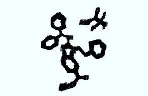 COC(=O)c1ccc2nc(NC(c3ccccc3)c3ccccc3)n(CCc3ccccc3)c2c1.O=C(O)C(F)(F)F